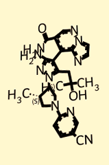 C[C@H]1CN(c2ccc(C#N)cn2)C[C@H]1n1nc(N)c(-c2c(C(N)=O)cnn3ccnc23)c1CC(C)(C)O